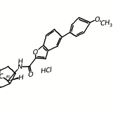 COc1ccc(-c2ccc3oc(C(=O)N[C@H]4CN5CCC4CC5)cc3c2)cc1.Cl